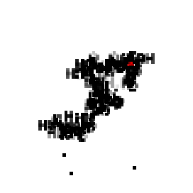 N[C@@H](CNC(=O)[C@H](Cc1ccccc1)NC(=O)[C@H](Cc1ccccc1)NC(=O)NCCCNC(=O)CCC(NC(=O)N[C@@H](CCC(=O)O)C(=O)O)C(=O)O)C(=O)N[C@@H](CC(=O)O)C(=O)N[C@@H](CSC1CC(=O)N(c2ccc(-c3c4cc(F)c(=O)cc-4oc4cc(O)c(F)cc34)c(C(=O)O)c2)C1=O)C(=O)O